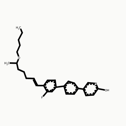 CCCCCOC(C)CCCC=Cc1ccc(-c2ccc(-c3ccc(O)nc3)cc2)cc1F